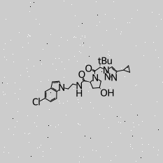 CC(C)(C)[C@@H](C(=O)N1C[C@H](O)C[C@H]1C(=O)NCCn1ccc2cc(Cl)ccc21)n1cc(C2CC2)nn1